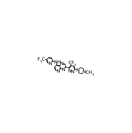 CN1CCN(c2cc(C(F)(F)F)c(-c3cnc4c(Nc5ccc(C(F)(F)F)cn5)ccnc4n3)nn2)CC1